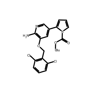 CC(C)(C)OC(=O)n1cccc1-c1cnc(N)c(OCc2c(Cl)cccc2Cl)c1